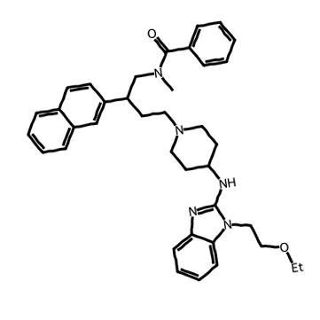 CCOCCn1c(NC2CCN(CCC(CN(C)C(=O)c3ccccc3)c3ccc4ccccc4c3)CC2)nc2ccccc21